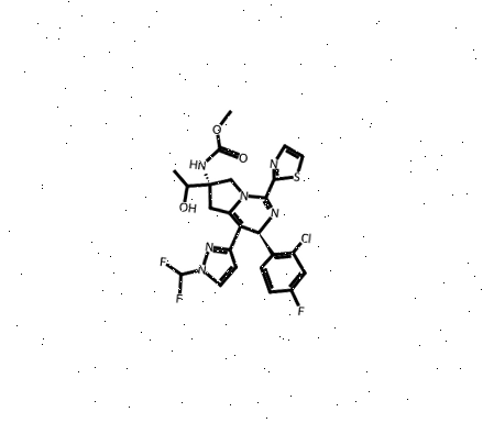 COC(=O)N[C@@]1(C(C)O)CC2=C(c3ccn(C(F)F)n3)[C@H](c3ccc(F)cc3Cl)N=C(c3nccs3)N2C1